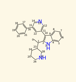 CC(c1[nH]c2ccccc2c1-c1cncc(-c2ccccc2)c1)C1CCCNC1